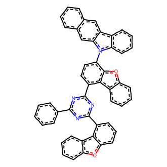 c1ccc(-c2nc(-c3cccc4oc5ccccc5c34)nc(-c3ccc(-n4c5ccccc5c5cc6ccccc6cc54)c4oc5ccccc5c34)n2)cc1